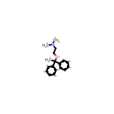 CN(C)CCOC(C)(c1ccccc1)c1ccccc1